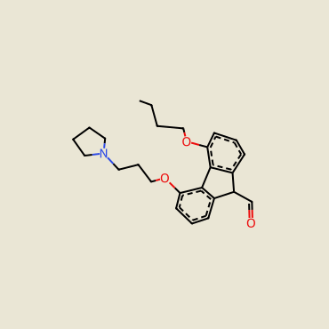 CCCCOc1cccc2c1-c1c(OCCCN3CCCC3)cccc1C2C=O